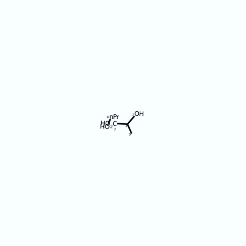 CC(O)C(=O)O.CCCO